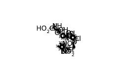 C#CCOc1cc(-n2nc3n(c2=O)CCCC3)c(Cl)cc1Cl.CCC(CC)Nc1c([N+](=O)[O-])cc(C)c(C)c1[N+](=O)[O-].CP(=O)(O)CCC(N)C(=O)O